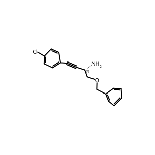 N[C@@H](C#Cc1ccc(Cl)cc1)COCc1ccccc1